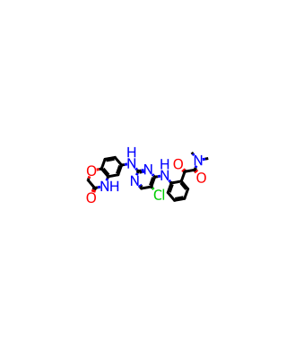 CN(C)C(=O)C(=O)c1ccccc1Nc1nc(Nc2ccc3c(c2)NC(=O)CO3)ncc1Cl